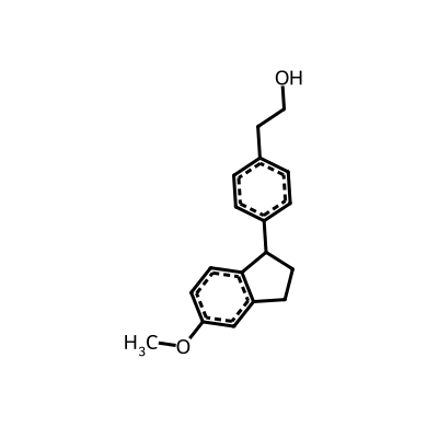 COc1ccc2c(c1)CCC2c1ccc(CCO)cc1